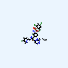 CNc1nccc(-c2sc(-c3ccc(F)cn3)nc2-c2cccc(NS(=O)(=O)c3c(F)cc(F)cc3F)c2F)n1